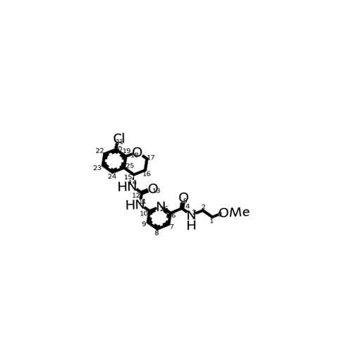 COCCNC(=O)c1cccc(NC(=O)N[C@H]2CCOc3c(Cl)cccc32)n1